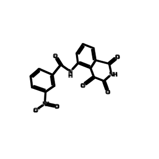 O=C1NC(=O)c2cccc(NC(=O)c3cccc([N+](=O)[O-])c3)c2C1=O